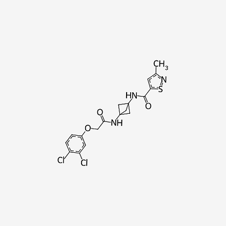 Cc1cc(C(=O)NC23CC(NC(=O)COc4ccc(Cl)c(Cl)c4)(C2)C3)sn1